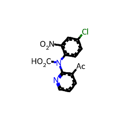 CC(=O)c1cccnc1N(C(=O)O)c1ccc(Cl)cc1[N+](=O)[O-]